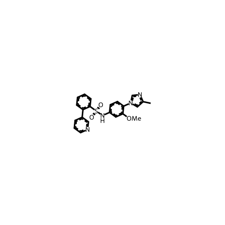 COc1cc(NS(=O)(=O)c2ccccc2-c2cccnc2)ccc1-n1cnc(C)c1